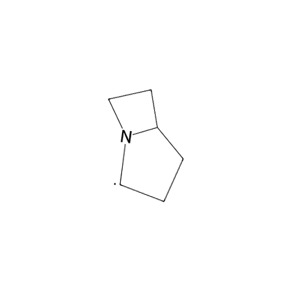 [CH]1CCC2CCN12